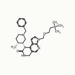 C[C@@H]1CCN(Cc2ccccc2)C[C@@H]1N1C(=O)NCc2cnc3c(ccn3COCC[Si](C)(C)C)c21